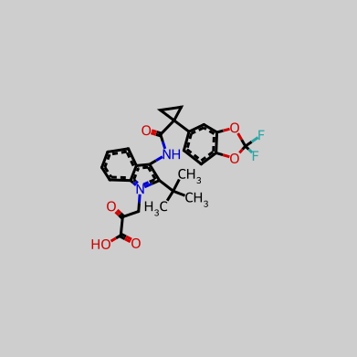 CC(C)(C)c1c(NC(=O)C2(c3ccc4c(c3)OC(F)(F)O4)CC2)c2ccccc2n1CC(=O)C(=O)O